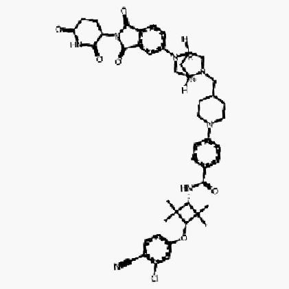 CC1(C)[C@H](NC(=O)c2ccc(N3CCC(CN4C[C@@H]5C[C@H]4CN5c4ccc5c(c4)C(=O)N(C4CCC(=O)NC4=O)C5=O)CC3)cc2)C(C)(C)[C@H]1Oc1ccc(C#N)c(Cl)c1